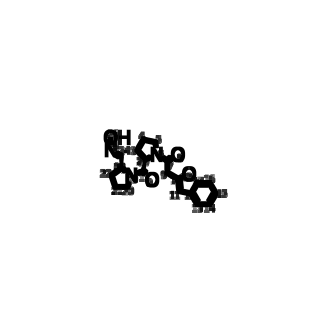 O=C([C@H]1CCCN1C(=O)Cc1cc2ccccc2o1)N1CCC[C@H]1C=NO